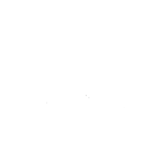 O=C(O)c1cc2c(nc1C(=O)O)C(O)CCC2